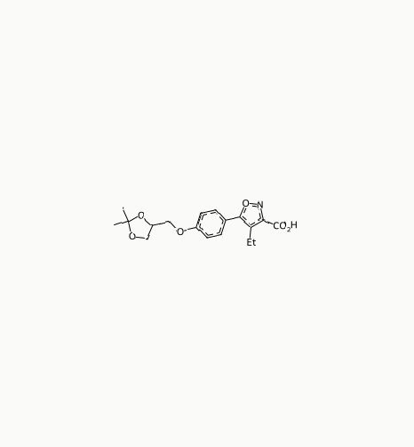 CCc1c(C(=O)O)noc1-c1ccc(OCC2COC(C)(C)O2)cc1